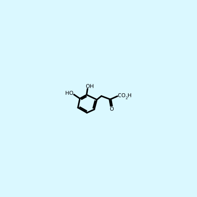 O=C(O)C(=O)Cc1cccc(O)c1O